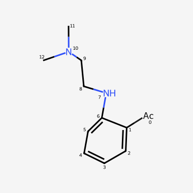 CC(=O)c1ccccc1NCCN(C)C